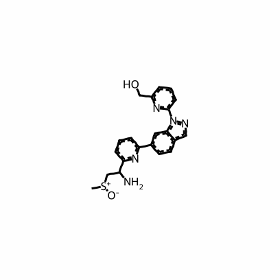 C[S+]([O-])CC(N)c1cccc(-c2ccc3cnn(-c4cccc(CO)n4)c3c2)n1